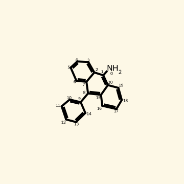 Nc1c2ccccc2c(-c2ccccc2)c2ccccc12